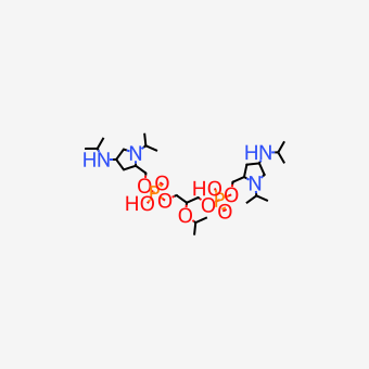 CC(C)NC1CC(COP(=O)(O)OCC(COP(=O)(O)OCC2CC(NC(C)C)CN2C(C)C)OC(C)C)N(C(C)C)C1